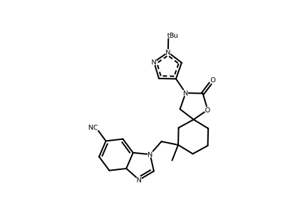 CC1(CN2C=NC3CC=C(C#N)C=C32)CCCC2(CN(c3cnn(C(C)(C)C)c3)C(=O)O2)C1